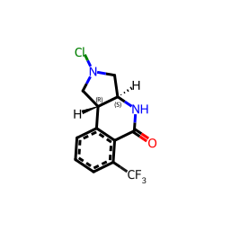 O=C1N[C@@H]2CN(Cl)C[C@H]2c2cccc(C(F)(F)F)c21